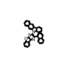 C1=CC2c3cc4ccccc4cc3N(c3nc4oc5ccccc5c4nc3-c3cccc4ccccc34)C2C=C1